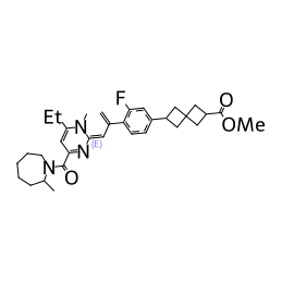 C=C(/C=C1/N=C(C(=O)N2CCCCCC2C)C=C(CC)N1C)c1ccc(C2CC3(CC(C(=O)OC)C3)C2)cc1F